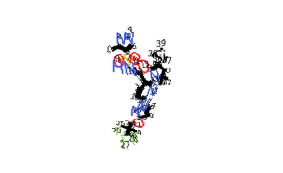 Cc1nn(C)cc1S(=O)(=O)NC(=O)c1ccc(-n2ccc(OCC(C)(C)C(F)(F)F)n2)nc1N1C[C@H]([Si](C)(C)C)CC1(C)C